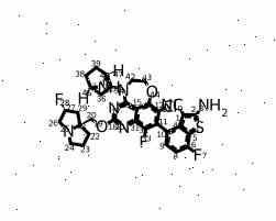 N#Cc1c(N)sc2c(F)ccc(-c3c(Cl)c4c5c(nc(OC[C@@]67CCCN6C[C@H](F)C7)nc5c3F)N([C@@H]3C[C@H]5CC[C@@H]3N5)CCO4)c12